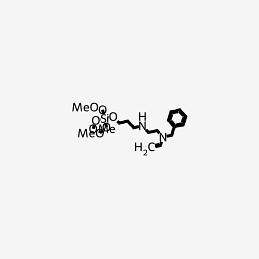 C=CN(CCNCCCO[Si](OOC)(OOC)OOC)Cc1ccccc1